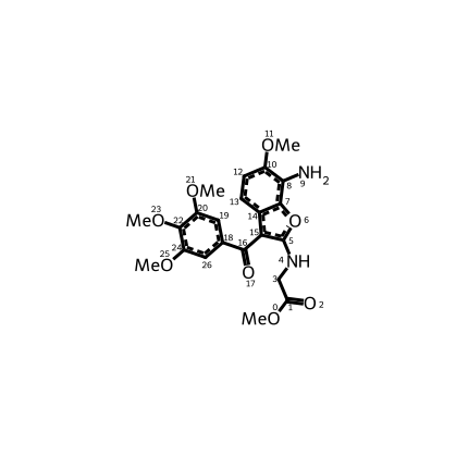 COC(=O)CNc1oc2c(N)c(OC)ccc2c1C(=O)c1cc(OC)c(OC)c(OC)c1